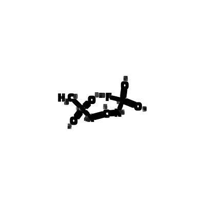 CS(=O)(=O)N=C=NS(=O)(=O)F